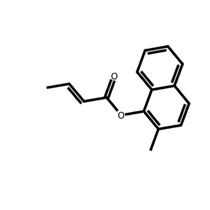 CC=CC(=O)Oc1c(C)ccc2ccccc12